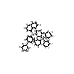 c1ccc(C2(c3ccccc3)c3ccccc3-c3cc4c(cc32)N(c2ccc(-c3cccnc3)cn2)c2cccc3cccc-4c23)cc1